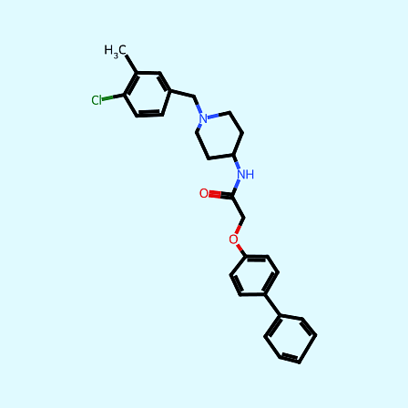 Cc1cc(CN2CCC(NC(=O)COc3ccc(-c4ccccc4)cc3)CC2)ccc1Cl